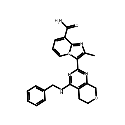 Cc1nc2c(C(N)=O)cccn2c1-c1nc2c(c(NCc3ccccc3)n1)CCOC2